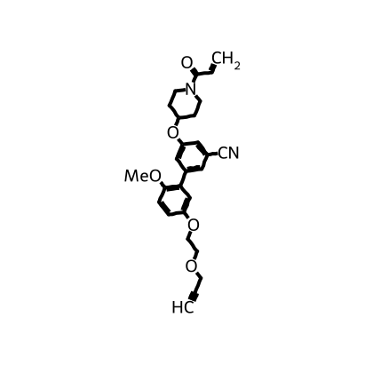 C#CCOCCOc1ccc(OC)c(-c2cc(C#N)cc(OC3CCN(C(=O)C=C)CC3)c2)c1